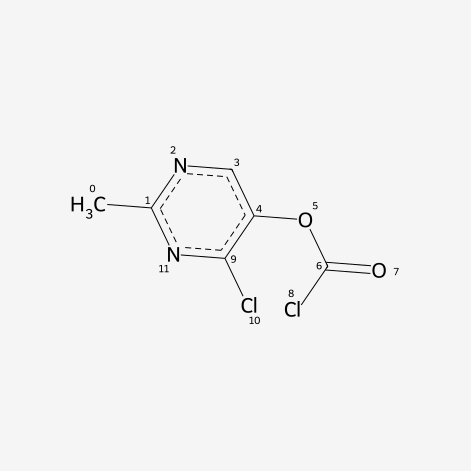 Cc1ncc(OC(=O)Cl)c(Cl)n1